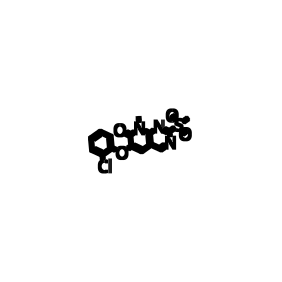 Cn1c(=O)c(Oc2ccccc2Cl)cc2cnc(S(C)(=O)=O)nc21